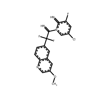 COc1cnc2ccc(C(F)(F)C(=N)n3cc(Cl)cc(F)c3=N)cc2c1